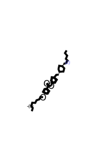 CCCC/C=C\C[C@H]1CC[C@H](CCc2ccc(OC(=O)c3ccc(OCCCCC[C@@H](C)CC)cc3)cc2)CC1